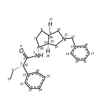 CC[C@H](C(=O)N[C@@H]1CC[C@H]2CN(Cc3ccccc3)C[C@H]21)c1ccccc1